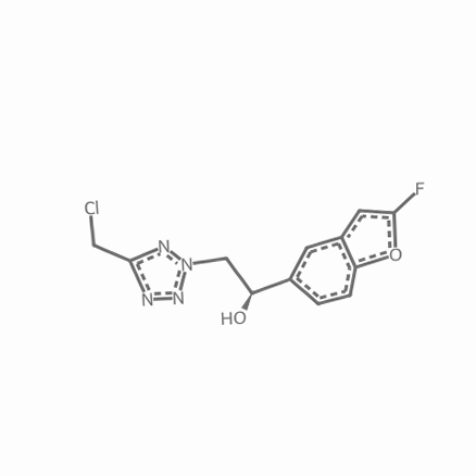 O[C@@H](Cn1nnc(CCl)n1)c1ccc2oc(F)cc2c1